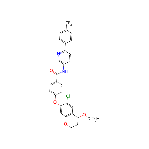 O=C(O)OC1CCOc2cc(Oc3ccc(C(=O)Nc4ccc(-c5ccc(C(F)(F)F)cc5)nc4)cc3)c(Cl)cc21